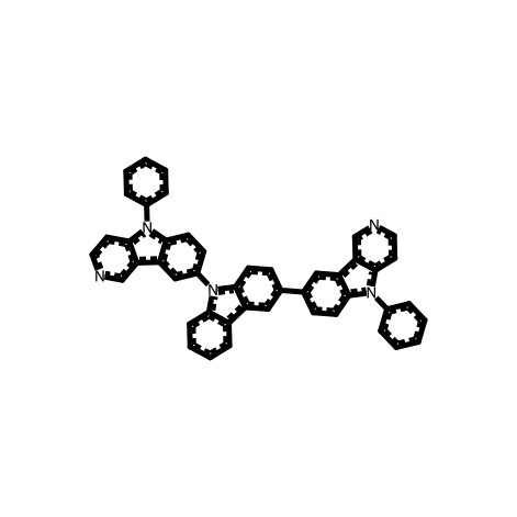 c1ccc(-n2c3ccncc3c3cc(-c4ccc5c(c4)c4ccccc4n5-c4ccc5c(c4)c4cnccc4n5-c4ccccc4)ccc32)cc1